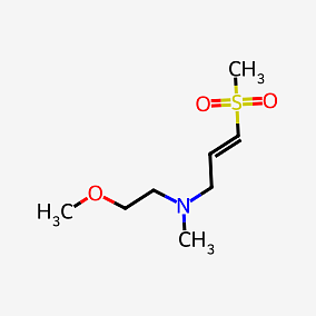 COCCN(C)C/C=C/S(C)(=O)=O